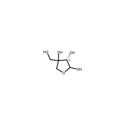 OCC1(O)COC(O)[C@H]1O